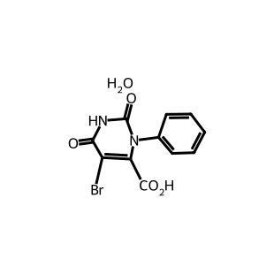 O.O=C(O)c1c(Br)c(=O)[nH]c(=O)n1-c1ccccc1